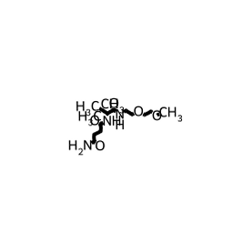 COCCOCCNC(=O)[C@@H](NC(=O)CCC(N)=O)C(C)(C)C